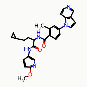 COc1ccc(NC(=O)C(CCC2CC2)NC(=O)c2ccc(-n3ccc4cnccc43)cc2C)cn1